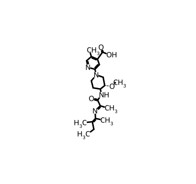 CC/C(C)=C(C)/N=C(\C)C(=O)NC1CCN(c2cc(C(=O)O)c(C)cn2)C[C@@H]1OC